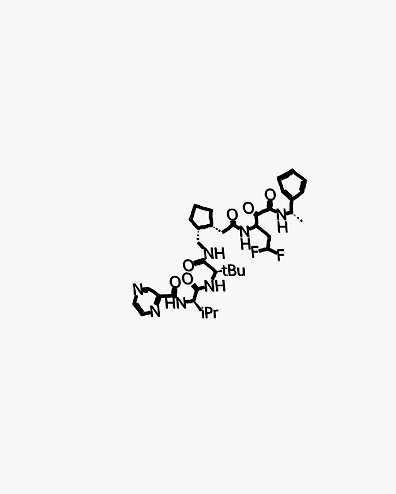 CC(C)[C@@H](NC(=O)c1cnccn1)C(=O)N[C@H](C(=O)NC[C@@H]1CCC[C@@H]1CC(=O)NC(CC(F)F)C(=O)C(=O)N[C@@H](C)c1ccccc1)C(C)(C)C